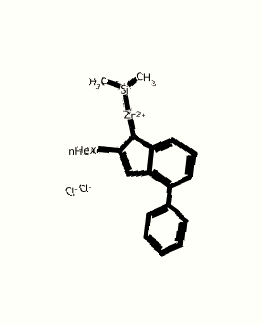 CCCCCCC1=Cc2c(-c3ccccc3)cccc2[CH]1[Zr+2][Si](C)C.[Cl-].[Cl-]